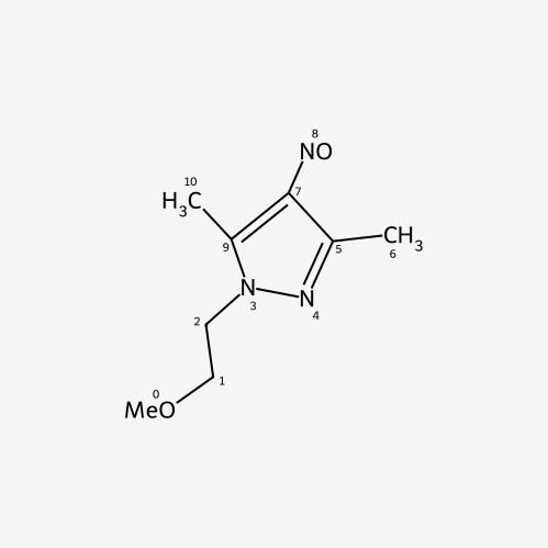 COCCn1nc(C)c(N=O)c1C